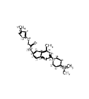 Cc1csc(OCC(=O)Nc2ccc3nc(N4CCC(N(C)C)CC4)nc(C)c3c2)c1